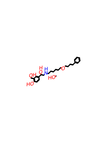 CO.OCc1cc(C(O)CNCCCCCCOCCCCc2ccccc2)ccc1O